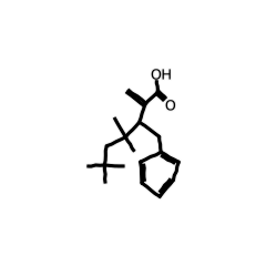 C=C(C(=O)O)C(Cc1ccccc1)C(C)(C)CC(C)(C)C